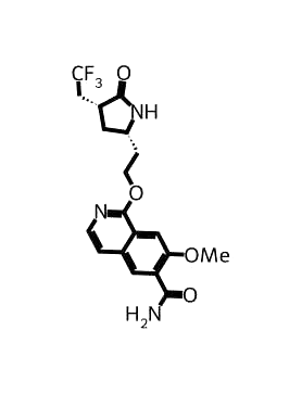 COc1cc2c(OCC[C@@H]3C[C@H](CC(F)(F)F)C(=O)N3)nccc2cc1C(N)=O